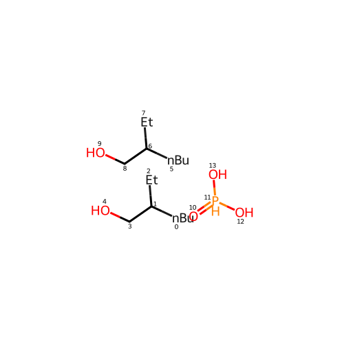 CCCCC(CC)CO.CCCCC(CC)CO.O=[PH](O)O